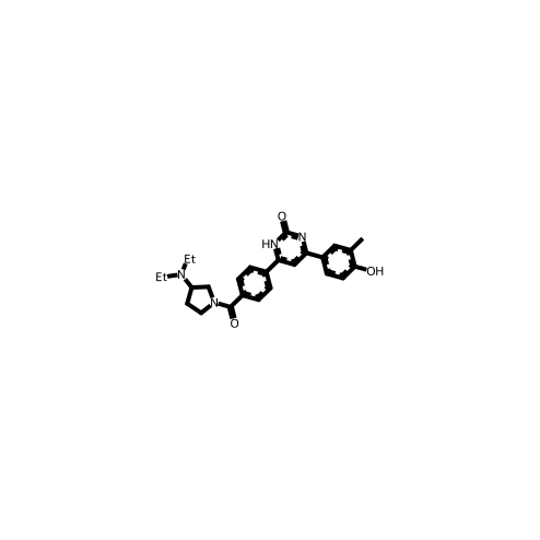 CCN(CC)C1CCN(C(=O)c2ccc(-c3cc(-c4ccc(O)c(C)c4)nc(=O)[nH]3)cc2)C1